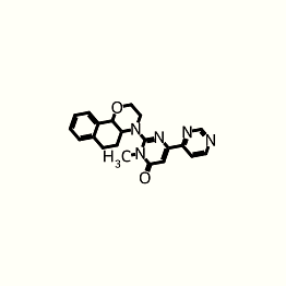 Cn1c(N2CCOC3c4ccccc4CCC32)nc(-c2ccncn2)cc1=O